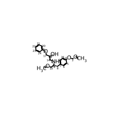 COCOc1ccc(C[C@@H](COC)NC[C@H](O)COc2ccccc2)cc1